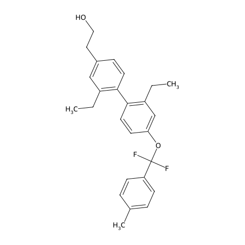 CCc1cc(CCO)ccc1-c1ccc(OC(F)(F)c2ccc(C)cc2)cc1CC